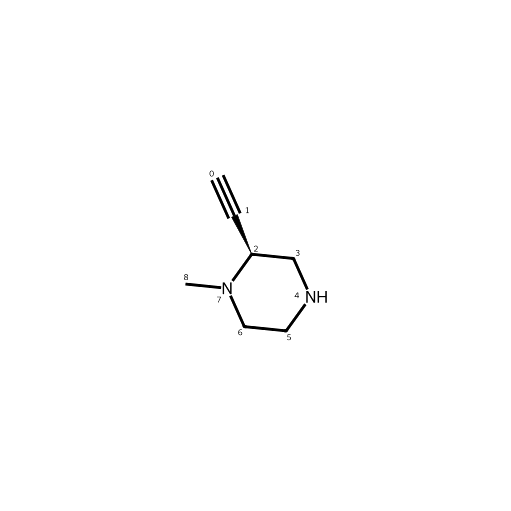 C#C[C@H]1CNCCN1C